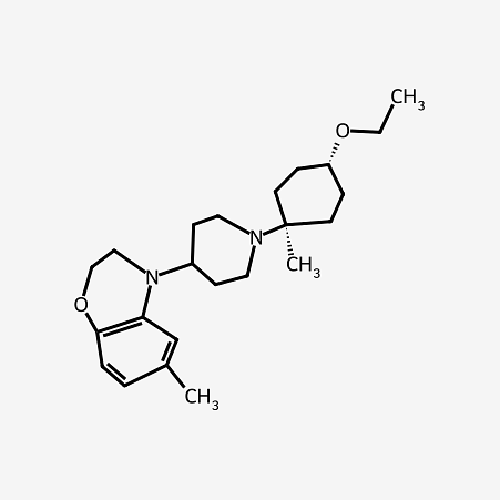 CCO[C@H]1CC[C@](C)(N2CCC(N3CCOc4ccc(C)cc43)CC2)CC1